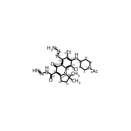 CCc1c(NC2CCN(C(C)=O)CC2)c(Cl)c2c(c1N=NN)c(=O)c(C(=O)NN=N)c1n2C(C)(C)CC1